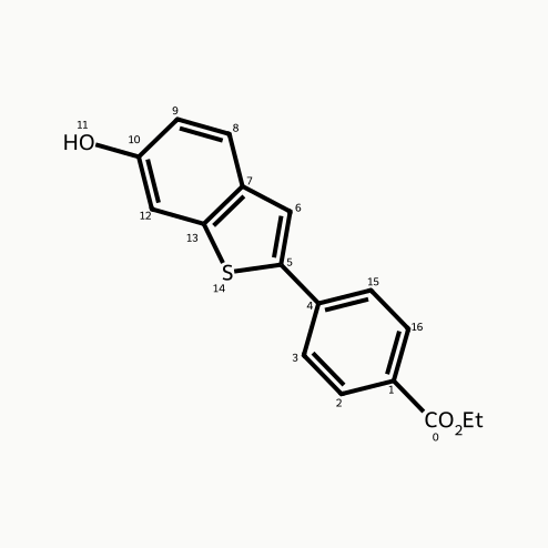 CCOC(=O)c1ccc(-c2cc3ccc(O)cc3s2)cc1